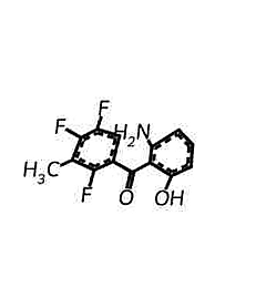 Cc1c(F)c(F)cc(C(=O)c2c(N)cccc2O)c1F